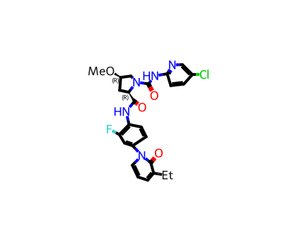 CCc1cccn(-c2ccc(NC(=O)[C@H]3C[C@@H](OC)CN3C(=O)Nc3ccc(Cl)cn3)c(F)c2)c1=O